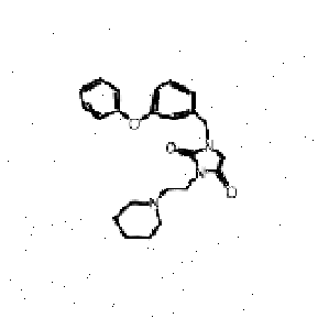 O=C1CN(Cc2cccc(Oc3ccccc3)c2)C(=O)N1CCN1CCCCC1